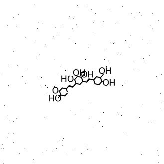 COC1CC(/C=C/C2CC(/C=C/C3CCC(O)C(CO)C3)C(O)C(O)C2O)CCC1O